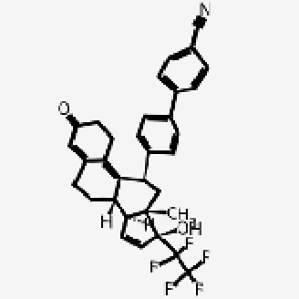 C[C@]12C[C@H](c3ccc(-c4ccc(C#N)cc4)cc3)C3=C4CCC(=O)C=C4CC[C@H]3[C@@H]1C=C[C@@]2(O)C(F)(F)C(F)(F)F